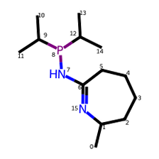 CC1CCCCC(NP(C(C)C)C(C)C)=N1